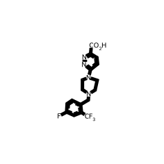 O=C(O)c1ccc(N2CCN(Cc3ccc(F)cc3C(F)(F)F)CC2)nn1